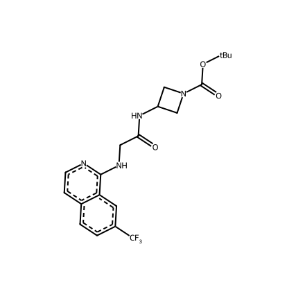 CC(C)(C)OC(=O)N1CC(NC(=O)CNc2nccc3ccc(C(F)(F)F)cc23)C1